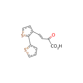 O=C(O)C(=O)C=Cc1ccsc1-c1cccs1